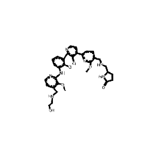 COc1nc(-c2ccnc(-c3cccc(Nc4nccc(CNCCO)c4OC)c3Cl)c2Cl)ccc1CNCC1CCC(=O)N1